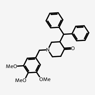 COc1cc(CN2CCC(=O)C(C(c3ccccc3)c3ccccc3)C2)cc(OC)c1OC